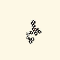 c1cc(-c2ccc(N(c3ccc(-c4ccc5c(ccc6ccccc65)c4)cc3)c3ccccc3-c3cccc4oc5ccccc5c34)cc2)cc(-c2cccc(-n3c4ccccc4c4ccccc43)c2)c1